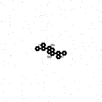 CC(C)(C)c1cc(-c2ccc3c4c(cccc24)Oc2ccccc2-3)c2ccc3c(C(C)(C)C)cc(-c4ccc5c6c(cccc46)Oc4ccccc4-5)c4ccc1c2c43